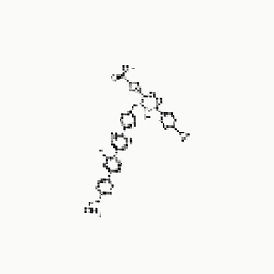 CCCc1ccc(-c2ccc(-c3cnc(-c4ccc(C[C@H](NC(=O)c5ccc(C6CC6)cc5)C(=O)N5CC(C(=O)O)C5)cc4)nc3)c(F)c2)cc1